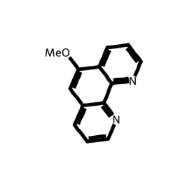 COc1cc2cccnc2c2ncccc12